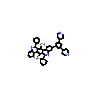 Cc1c2c(-c3ccccc3)nc3cc(-c4cc(-c5ccncc5)cc(-c5ccncc5)c4)ccc3c2c(C)c2c(-c3ccccc3)nc3ccccc3c12